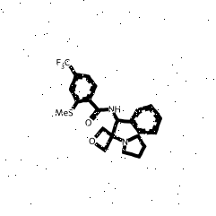 CSc1cc(C(F)(F)F)ccc1C(=O)NC(c1ccccc1)C1(N2CCCC2)COC1